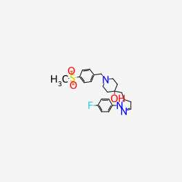 CS(=O)(=O)c1ccc(CN2CCC(O)(CC3CC=NN3c3ccc(F)cc3)CC2)cc1